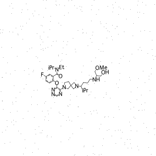 CCN(C(=O)c1cc(F)ccc1Oc1nncnc1N1CCC2(C1)CN(C(CCCNC(CO)COC)C(C)C)C2)C(C)C